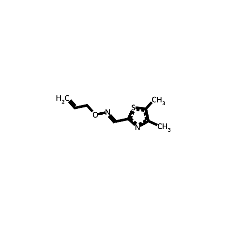 C=CCON=Cc1nc(C)c(C)s1